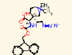 C[N+]1(C)CCC[C@](CCN=[N+]=[N-])([C@@H](NC(=O)OCC2c3ccccc3-c3ccccc32)C(=O)O)C1